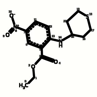 CCOC(=O)c1cc([N+](=O)[O-])ccc1NC1CCSCC1